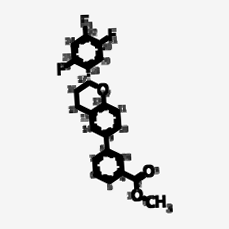 COC(=O)c1cccc(-c2ccc3c(c2)CC[C@H](c2cc(F)c(F)cc2F)O3)c1